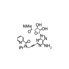 CNC(=O)[C@H]1O[C@@H](n2cnc3c(N)nc(C#CCN(C(=O)c4ccccn4)C(C)C)nc32)[C@H](O)[C@@H]1O